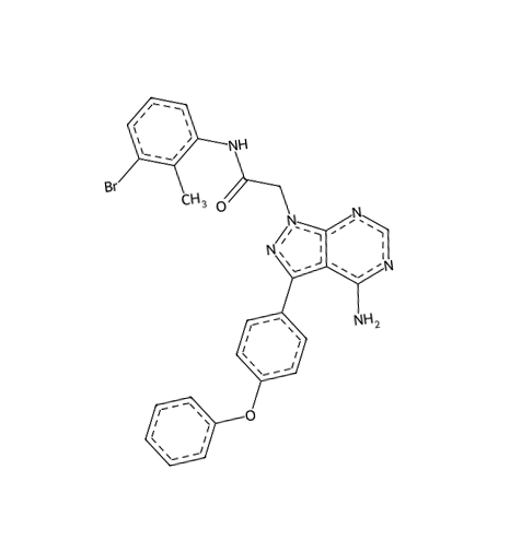 Cc1c(Br)cccc1NC(=O)Cn1nc(-c2ccc(Oc3ccccc3)cc2)c2c(N)ncnc21